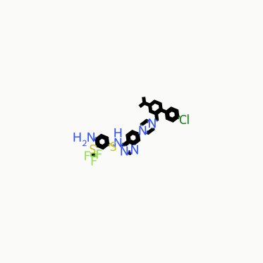 CC(C)C1CCC(c2ccc(Cl)cc2)=C(CN2CCN(c3ccc4c(NSc5ccc(N)c(SC(F)(F)F)c5)ncnc4c3)CC2)C1